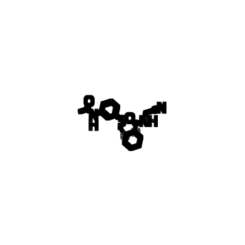 CC(=O)Nc1cccc(SC[C@H]2CCCC[C@@H]2C(=O)NCC#N)c1